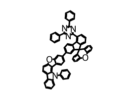 c1ccc(-c2nc(-c3ccccc3)nc(-c3cccc4c3-c3ccc(-c5ccc6c(c5)oc5ccc7c8ccccc8n(-c8ccccc8)c7c56)cc3C43c4ccccc4Oc4ccccc43)n2)cc1